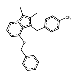 Cc1c(C)[n+]2cccc(OCc3ccccc3)c2n1Cc1ccc(C(F)(F)F)cc1